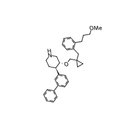 COCCCc1ccccc1CC1(CO[C@H]2CNCC[C@@H]2c2cccc(-c3ccccc3)c2)CC1